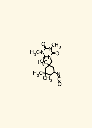 Cn1c(=O)n(C)c(=O)n(CC2(C)CC(N=C=O)CC(C)(C)C2)c1=O